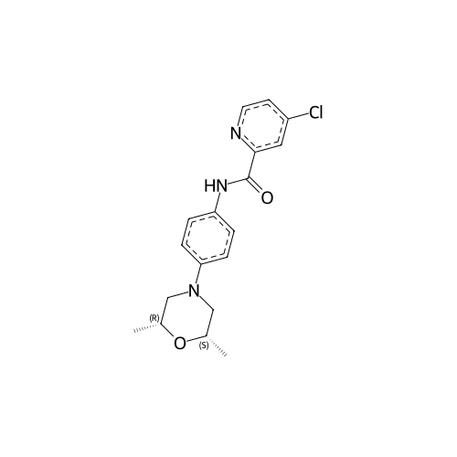 C[C@@H]1CN(c2ccc(NC(=O)c3cc(Cl)ccn3)cc2)C[C@H](C)O1